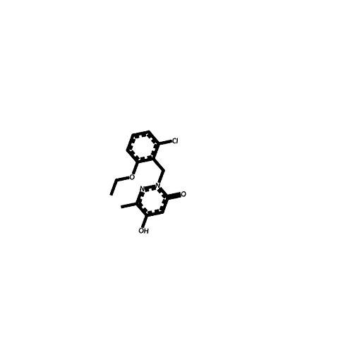 CCOc1cccc(Cl)c1Cn1nc(C)c(O)cc1=O